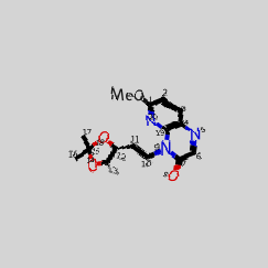 COc1ccc2ncc(=O)n(CC[C@H]3COC(C)(C)O3)c2n1